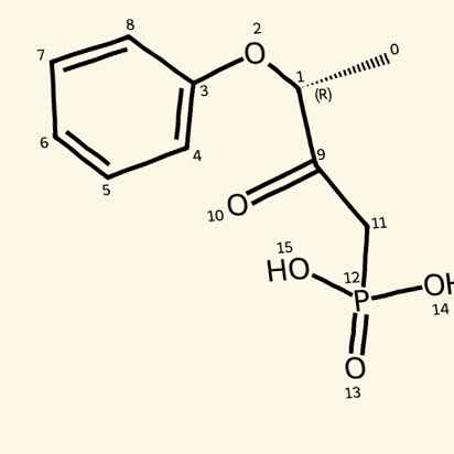 C[C@@H](Oc1ccccc1)C(=O)CP(=O)(O)O